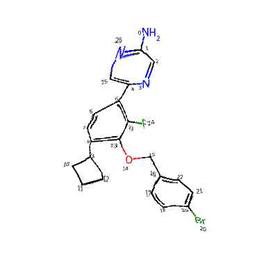 Nc1cnc(-c2ccc(C3CCC3)c(OCc3ccc(Br)cc3)c2F)cn1